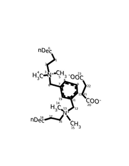 CCCCCCCCCCCC[N+](C)(C)Cc1cccc(C[N+](C)(C)CCCCCCCCCCCC)c1.O=C([O-])CCC(=O)[O-]